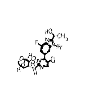 CC(C)n1c([C@@H](C)O)nc2c(F)cc(-c3nc(N[C@@H]4C[C@H]5CO[C@H](O5)[C@H]4O)ncc3Cl)cc21